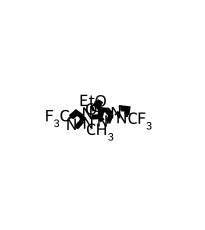 CCS(=O)(=O)c1cc(-n2ccc(C(F)(F)F)n2)cnc1-c1nc2cc(C(F)(F)F)ncc2n1C